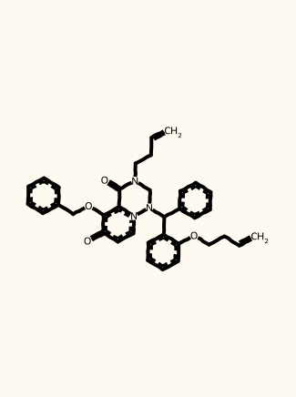 C=CCCOc1ccccc1C(c1ccccc1)N1CN(CCC=C)C(=O)c2c(OCc3ccccc3)c(=O)ccn21